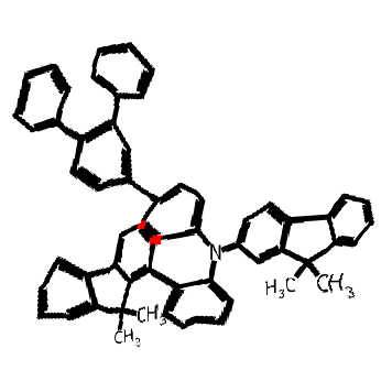 CC1(C)c2ccccc2-c2ccc(N(c3ccc(-c4ccc(-c5ccccc5)c(-c5ccccc5)c4)cc3)c3ccccc3-c3cccc4c3C(C)(C)c3ccccc3-4)cc21